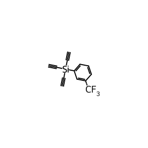 C#C[Si](C#C)(C#C)c1cccc(C(F)(F)F)c1